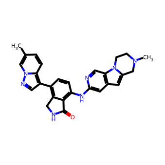 Cc1ccc2c(-c3ccc(Nc4cc5cc6n(c5cn4)CCN(C)C6)c4c3CNC4=O)cnn2c1